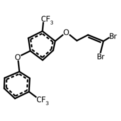 FC(F)(F)c1cccc(Oc2ccc(OCC=C(Br)Br)c(C(F)(F)F)c2)c1